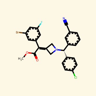 COC(=O)C(=C1CN([C@@H](c2ccc(Cl)cc2)c2cccc(C#N)c2)C1)c1cc(F)cc(Br)c1